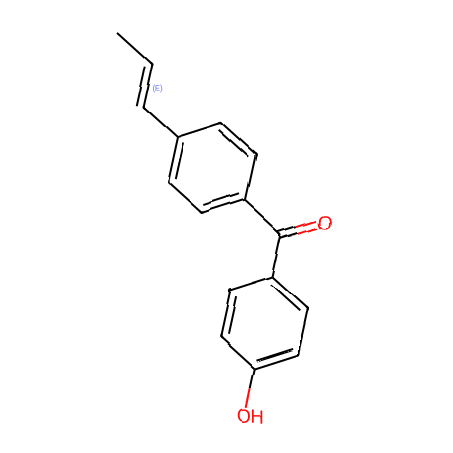 C/C=C/c1ccc(C(=O)c2ccc(O)cc2)cc1